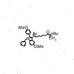 CCCCN(C)C(=O)CCCCCN(C(C)=O)c1c(-c2ccc(OC)cc2)n(Cc2ccccc2)c2ccc(OC)cc12